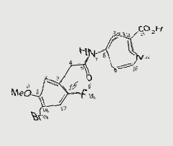 COc1cc(CC(=O)Nc2ccnc(C(=O)O)c2)c(F)cc1Br